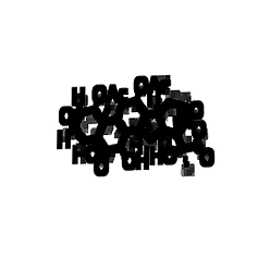 CC(=O)O[C@H]1CC2C([C@@H](O)C(=O)[C@@]3(O)C[C@@H]4O[C@@H]4[C@H](OC(C)=O)[C@]23C)[C@@H]2C[C@@H]3[C@H]([C@H](C)[C@H]4O[C@]45OC(=O)[C@@](C)(O)[C@]35C)[C@@]12C